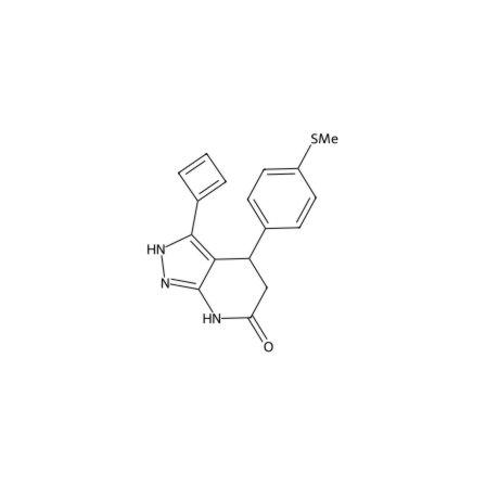 CSc1ccc(C2CC(=O)Nc3n[nH]c(C4=CC=C4)c32)cc1